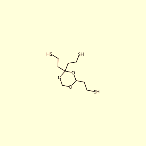 SCCC1OCOC(CCS)(CCS)O1